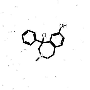 CN1CCc2ccc(O)cc2C(Cl)(c2ccccc2)C1